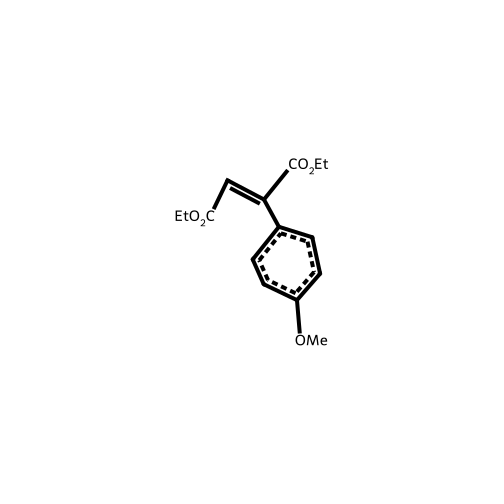 CCOC(=O)/C=C(/C(=O)OCC)c1ccc(OC)cc1